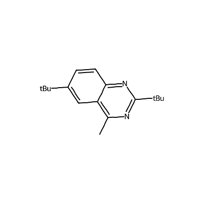 Cc1nc(C(C)(C)C)nc2ccc(C(C)(C)C)cc12